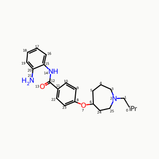 CC(C)CN1CCCC(Oc2ccc(C(=O)Nc3ccccc3N)cc2)CC1